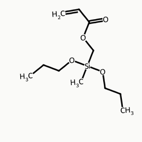 C=CC(=O)OC[Si](C)(OCCC)OCCC